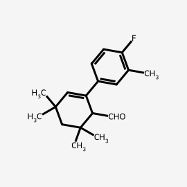 Cc1cc(C2=CC(C)(C)CC(C)(C)C2C=O)ccc1F